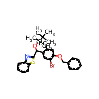 Cc1cc(OCc2ccccc2)c(Br)cc1C(O[Si](C)(C)C(C)(C)C)c1nc2ccccc2s1